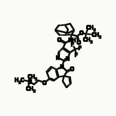 CC(C)(C)OC(=O)C1(NC(=O)c2cnc(N3C(=O)C4(C=CCC4)c4cc(OCC[Si](C)(C)C)ccc43)nc2C(F)(F)F)C2CC3CC(C2)CC1C3